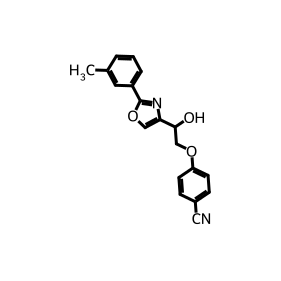 Cc1cccc(-c2nc(C(O)COc3ccc(C#N)cc3)co2)c1